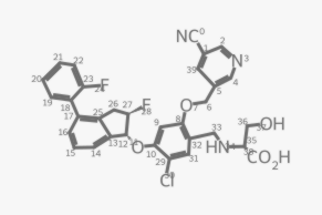 N#Cc1cncc(COc2cc(O[C@@H]3c4cccc(-c5ccccc5F)c4C[C@H]3F)c(Cl)cc2CN[C@@H](CO)C(=O)O)c1